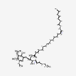 CCCCCCCCCCCCC/C=C/C(O)C(CO[C@@H]1OC(CO)[C@H](O)C(OS(=O)(=O)O)C1O)NC(=O)CCCCCCCCCCCCC/C=C\CCCCCCCCI